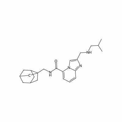 CC(C)CNCc1cn2c(C(=O)NCC34CC5CC(CC3C5)C4)cccc2n1